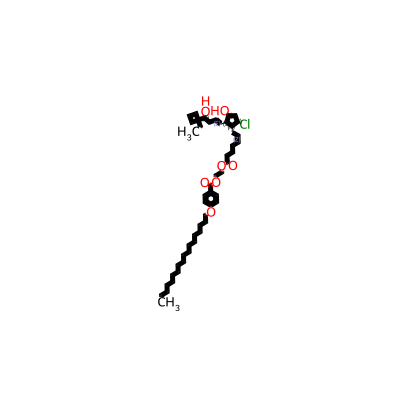 CCCCCCCCCCCCCCCCCCOc1ccc(C(=O)OCCOC(=O)CCC/C=C\C[C@@H]2[C@H](/C=C/C[C@H](O)C3(CC)CCC3)[C@H](O)C[C@@H]2Cl)cc1